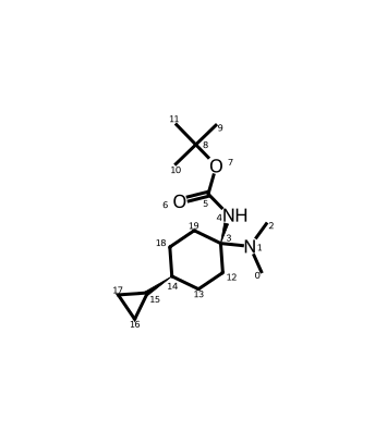 CN(C)[C@]1(NC(=O)OC(C)(C)C)CC[C@@H](C2CC2)CC1